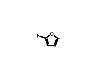 Fc1cc[c]o1